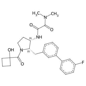 CN(C)C(=O)C(=O)N[C@H]1CCN(C(=O)C2(O)CCC2)[C@H]1Cc1cccc(-c2cccc(F)c2)c1